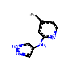 CC(C)c1ccnc(Nc2cn[nH]c2)c1